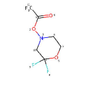 O=C(ON1CCOC(F)(F)C1)C(F)(F)F